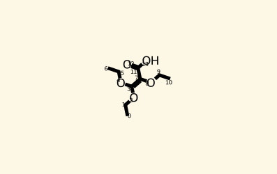 CCOC(OCC)=C(OCC)C(=O)O